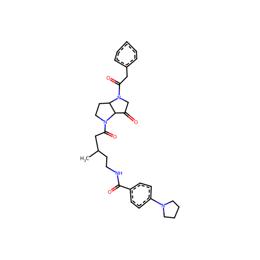 CC(CCNC(=O)c1ccc(N2CCCC2)cc1)CC(=O)N1CCC2C1C(=O)CN2C(=O)Cc1ccccc1